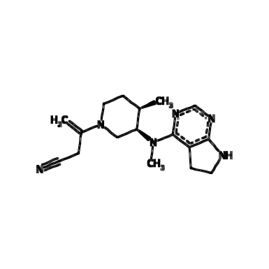 C=C(CC#N)N1CC[C@@H](C)[C@@H](N(C)c2ncnc3c2CCN3)C1